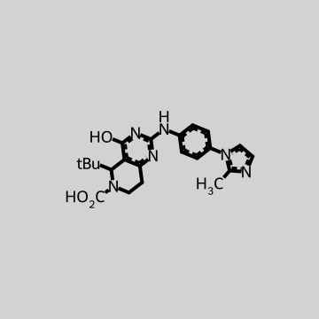 Cc1nccn1-c1ccc(Nc2nc(O)c3c(n2)CCN(C(=O)O)C3C(C)(C)C)cc1